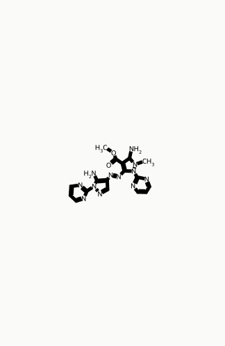 COC(=O)C1=C(/N=N/c2cnn(-c3ncccn3)c2N)N(c2ncccn2)N(C)C1N